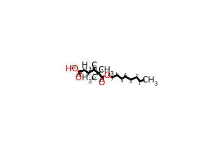 CCCCCCCCOC(=O)C(C)(C)C(C)CCC(=O)O